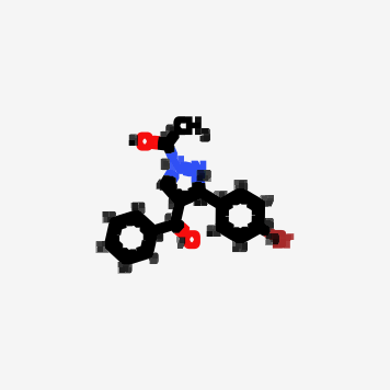 CC(=O)n1cc(C(=O)c2ccccc2)c(-c2ccc(Br)cc2)n1